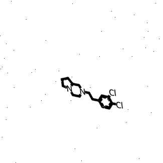 Clc1ccc(CCN2CCN3CCCC3C2)cc1Cl